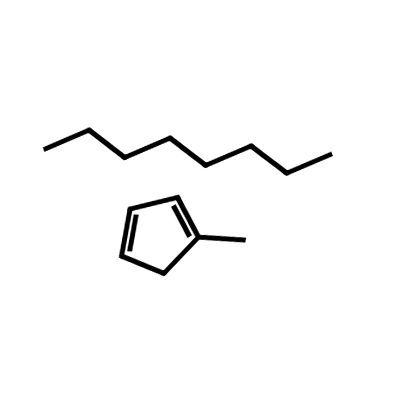 CC1=CC=CC1.CCCCCCCC